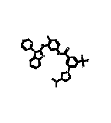 Cc1ccc(NC(=O)c2cc(N3CCC(N(C)C)C3)cc(C(F)(F)F)c2)cc1Nc1nc2ccccc2n1-c1ccncn1